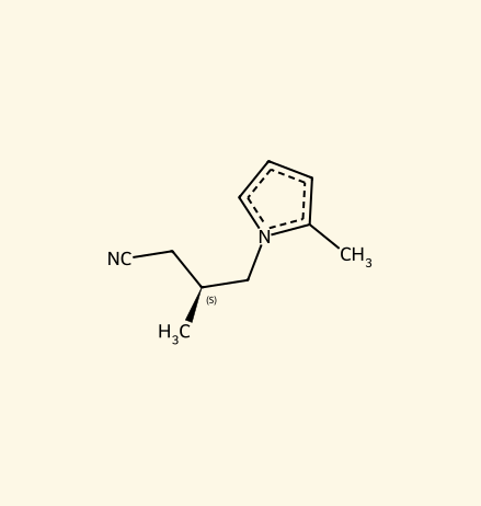 Cc1cccn1C[C@@H](C)CC#N